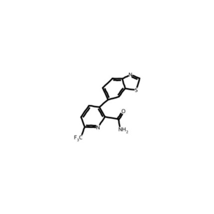 NC(=O)c1nc(C(F)(F)F)ccc1-c1ccc2ncsc2c1